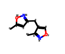 Cc1cc(Cc2conc2C)no1